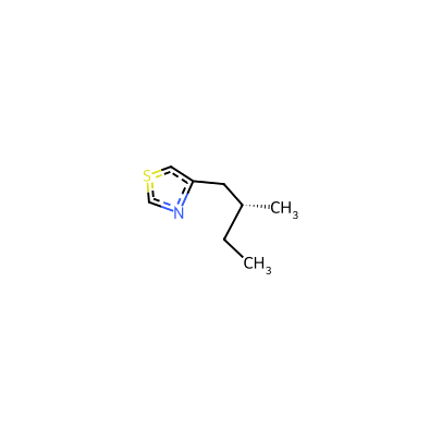 CC[C@@H](C)Cc1cscn1